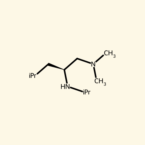 CC(C)C[C@@H](CN(C)C)NC(C)C